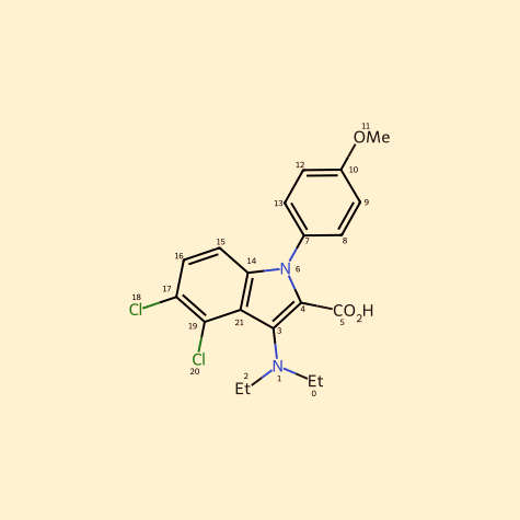 CCN(CC)c1c(C(=O)O)n(-c2ccc(OC)cc2)c2ccc(Cl)c(Cl)c12